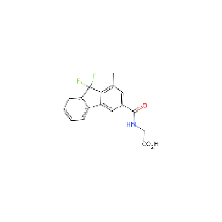 Cc1cc(C(=O)NCC(=O)O)cc2c1C(F)(F)c1ccccc1-2